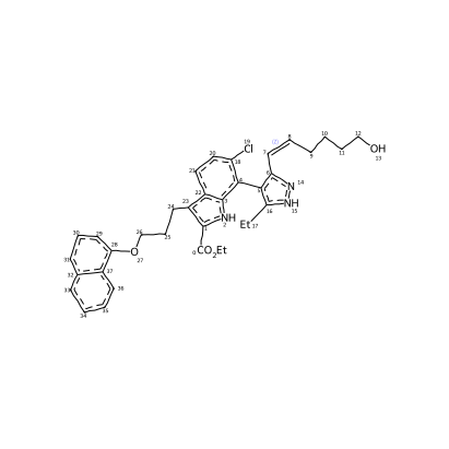 CCOC(=O)c1[nH]c2c(-c3c(/C=C\CCCCO)n[nH]c3CC)c(Cl)ccc2c1CCCOc1cccc2ccccc12